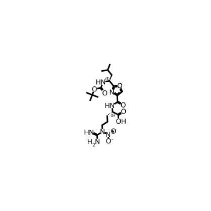 CC(C)C[C@H](NC(=O)OC(C)(C)C)c1nc(C(=O)N[C@@H](CCCN(C(=N)N)[N+](=O)[O-])C(=O)O)co1